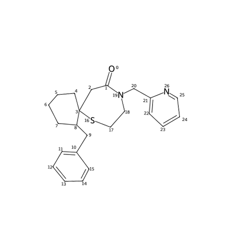 O=C1CC2(CCCCC2Cc2ccccc2)SCCN1Cc1ccccn1